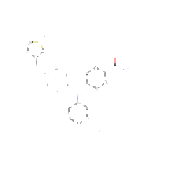 CCN(CC)C(=O)c1ccc(N(c2cccc(OC)c2)C2CCN(Cc3ccsc3)CC2)cc1